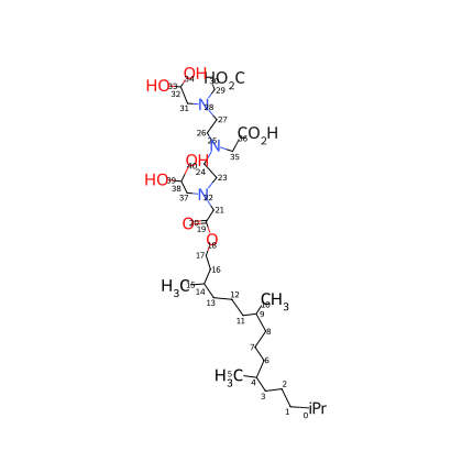 CC(C)CCCC(C)CCCC(C)CCCC(C)CCOC(=O)CN(CCN(CCN(CC(=O)O)CC(O)O)CC(=O)O)CC(O)O